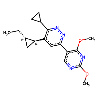 CC[C@H]1C[C@@H]1c1cc(-c2cnc(OC)nc2OC)nnc1C1CC1